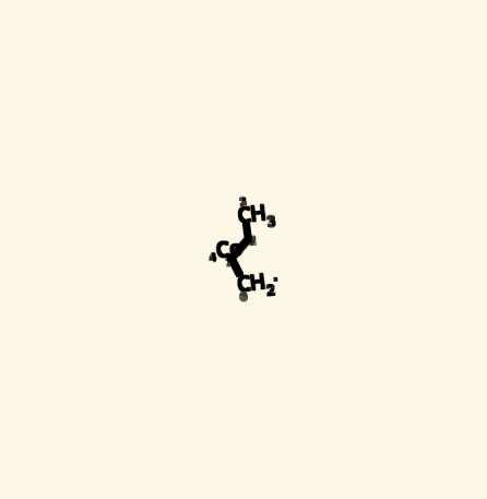 [CH2]CCC.[Co]